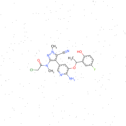 CC(Oc1cc(-c2c(N(C)C(=O)CCl)nn(C)c2C#N)cnc1N)c1cc(F)ccc1O